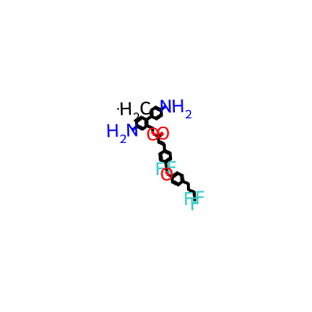 [CH2]c1cc(N)ccc1-c1ccc(N)cc1COC(=O)/C=C/c1ccc(C(F)(F)Oc2ccc(CCCC(F)(F)F)cc2)cc1